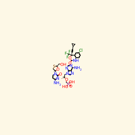 C[C@H](Cn1cnc2c(N)ncnc21)OCP(=O)(O)O.Nc1ccn([C@H]2CS[C@@H](CO)O2)c(=O)n1.O=C1Nc2ccc(Cl)cc2[C@@](C#CC2CC2)(C(F)(F)F)O1